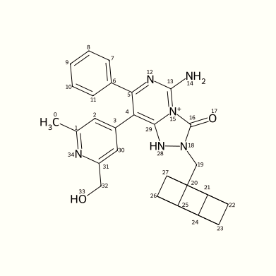 Cc1cc(-c2c(-c3ccccc3)nc(N)[n+]3c(=O)n(CC45C6C7C8C6C4C8C75)[nH]c23)cc(CO)n1